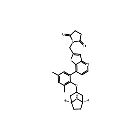 Cc1cc(Cl)cc(-c2ccnc3cc(CN4C(=O)CCC4=O)sc23)c1O[C@H]1C[C@H]2CC[C@@H](C1)N2